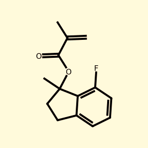 C=C(C)C(=O)OC1(C)CCc2cccc(F)c21